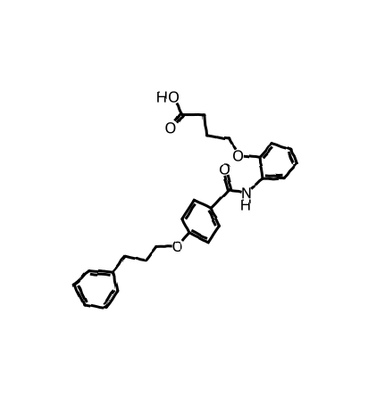 O=C(O)CCCOc1ccccc1NC(=O)c1ccc(OCCCc2ccccc2)cc1